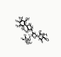 [2H]c1c([2H])c([2H])c(-c2nnn([C@H]3C[C@H](n4cc(C)c(=O)[nH]c4=O)O[C@@H]3CO[Si](C)(C)C(C)(C)C)c2[2H])c([2H])c1[2H]